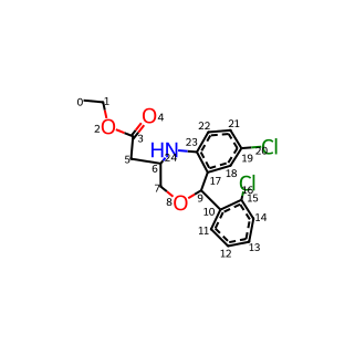 CCOC(=O)CC1COC(c2ccccc2Cl)c2cc(Cl)ccc2N1